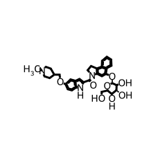 CN1CCC(COc2ccc3[nH]c(C(=O)N4CCc5c4cc(O[C@@H]4OC(CO)[C@H](O)[C@H](O)C4O)c4ccccc54)cc3c2)CC1